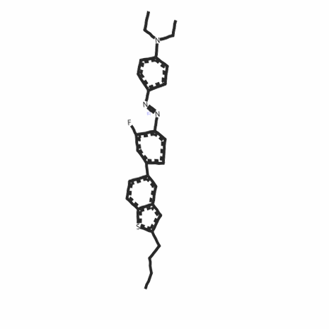 CCCCc1cc2cc(-c3ccc(/N=N/c4ccc(N(CC)CC)cc4)c(F)c3)ccc2s1